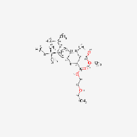 CCOCCOC(=O)C1CC2C3CC(C2C(C)C1C(=O)OC)C(C(C)C)C3C(C)(C)CC